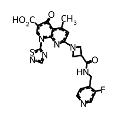 Cc1cc(N2CC(C(=O)NCc3ccncc3F)C2)nc2c1c(=O)c(C(=O)O)cn2-c1ncns1